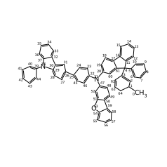 CC1C=C(C2(c3ccccc3)c3ccccc3-c3ccc(N(c4ccc(-c5ccc6c(c5)c5ccccc5n6-c5ccccc5)cc4)c4ccc5c(c4)oc4ccccc45)cc32)C=CC1